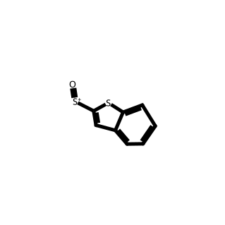 O=[S+]c1cc2ccccc2s1